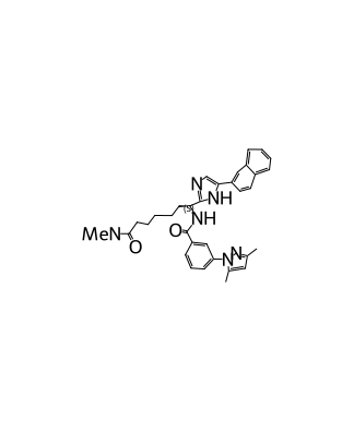 CNC(=O)CCCCC[C@H](NC(=O)c1cccc(-n2nc(C)cc2C)c1)c1ncc(-c2ccc3ccccc3c2)[nH]1